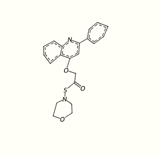 O=C(COc1cc(-c2ccccc2)nc2ccccc12)SN1CCOCC1